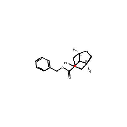 O=C(OCc1ccccc1)N1C[C@H]2CC[C@@H](C1)C2CO